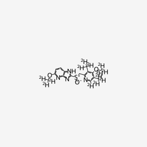 [2H]c1nc(C[S+]([O-])c2nc3nc(OC([2H])([2H])[2H])ccc3[nH]2)c(C([2H])([2H])[2H])c(OC([2H])([2H])[2H])c1C([2H])([2H])[2H]